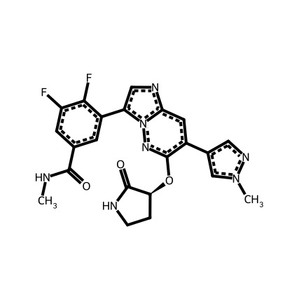 CNC(=O)c1cc(F)c(F)c(-c2cnc3cc(-c4cnn(C)c4)c(O[C@H]4CCNC4=O)nn23)c1